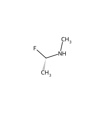 CN[C@H](C)F